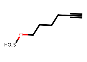 C#CCCCCOS(=O)(=O)O